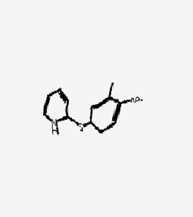 CCCC1=CCC(SC2C=CC=CN2)C=C1C